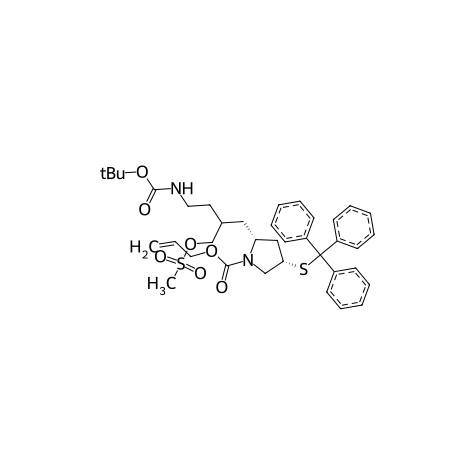 C=CCOC(=O)N1C[C@@H](SC(c2ccccc2)(c2ccccc2)c2ccccc2)C[C@H]1CC(CCNC(=O)OC(C)(C)C)COS(C)(=O)=O